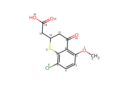 COc1ccc(Cl)c2c1C(=O)CC(CC(=O)O)S2